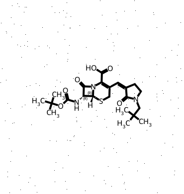 CC(C)(C)CN1CCC(=CC2=C(C(=O)O)N3C(=O)[C@@H](NC(=O)OC(C)(C)C)[C@H]3SC2)C1=O